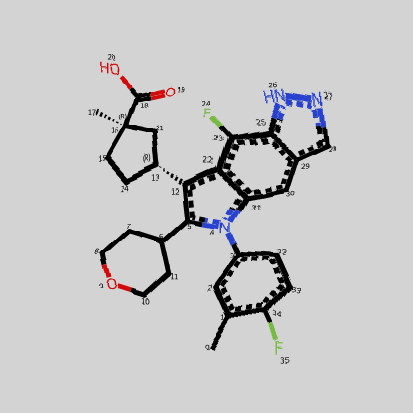 Cc1cc(-n2c(C3CCOCC3)c([C@@H]3CC[C@@](C)(C(=O)O)C3)c3c(F)c4[nH]ncc4cc32)ccc1F